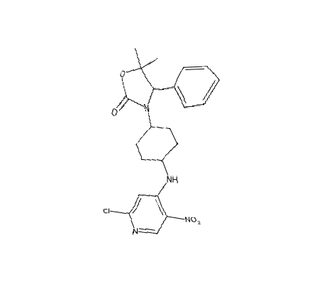 CC1(C)OC(=O)N(C2CCC(Nc3cc(Cl)ncc3[N+](=O)[O-])CC2)C1c1ccccc1